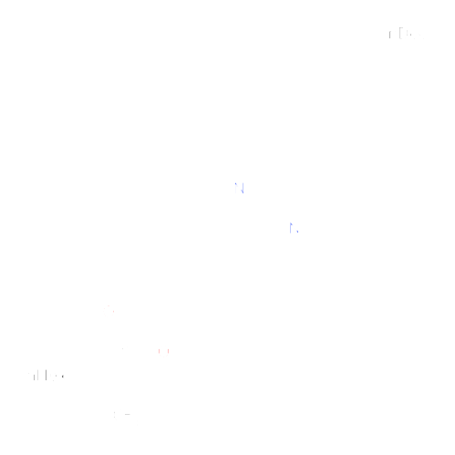 CCCCCCCCCCc1ccc(-c2cnc(-c3ccc(OC(=O)C(CCCCCC)C(F)(F)F)cc3)nc2)cc1